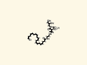 CC/C=C\C/C=C\C/C=C\C/C=C\C/C=C\C/C=C\CCC(=O)NCCSSC(C)(C)C(NC(=O)O)C(=O)NCC(O)CO